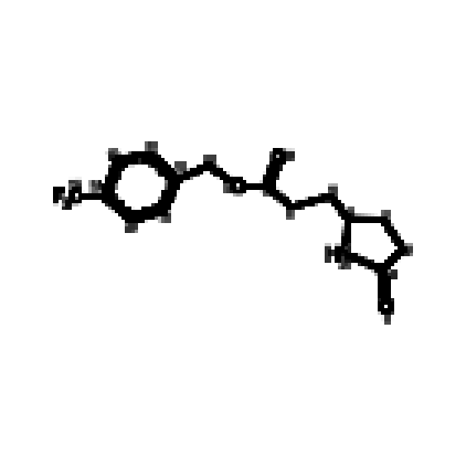 O=C1CCC(CCC(=O)OCc2ccc(C(F)(F)F)cc2)N1